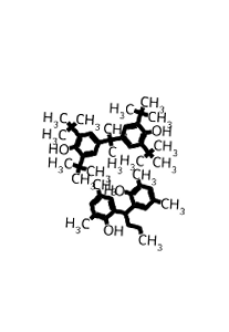 CC(C)(C)c1cc(C(C)(C)c2cc(C(C)(C)C)c(O)c(C(C)(C)C)c2)cc(C(C)(C)C)c1O.CCCC(c1cc(C)cc(C)c1O)c1cc(C)cc(C)c1O